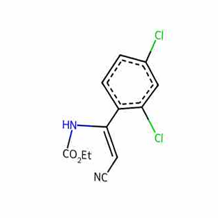 CCOC(=O)N/C(=C\C#N)c1ccc(Cl)cc1Cl